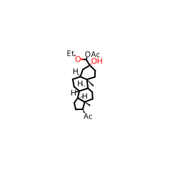 CCOC(OC(C)=O)[C@@]1(O)CC[C@@]2(C)[C@@H](CC[C@@H]3[C@@H]2CC[C@]2(C)[C@@H](C(C)=O)CC[C@@H]32)C1